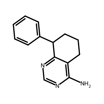 Nc1ncnc2c1CCCC2c1ccccc1